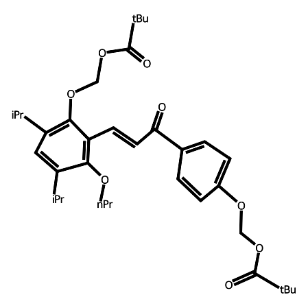 CCCOc1c(C(C)C)cc(C(C)C)c(OCOC(=O)C(C)(C)C)c1/C=C/C(=O)c1ccc(OCOC(=O)C(C)(C)C)cc1